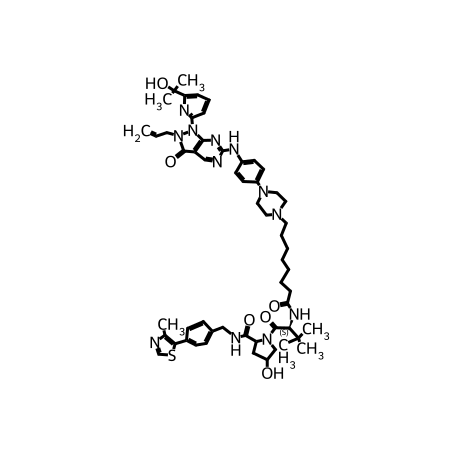 C=CCn1c(=O)c2cnc(Nc3ccc(N4CCN(CCCCCCCC(=O)N[C@H](C(=O)N5CC(O)CC5C(=O)NCc5ccc(-c6scnc6C)cc5)C(C)(C)C)CC4)cc3)nc2n1-c1cccc(C(C)(C)O)n1